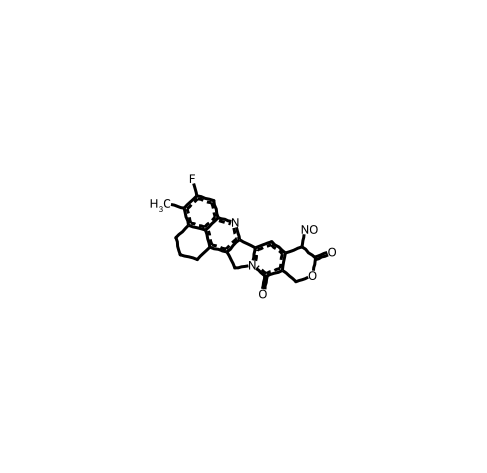 Cc1c(F)cc2nc3c(c4c2c1CCC4)Cn1c-3cc2c(c1=O)COC(=O)C2N=O